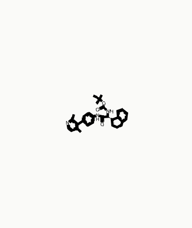 Cc1ccnc(C)c1-c1ccc(NC(=O)C(NC(=O)OC(C)(C)C)[C@H]2CCCc3ccccc32)cc1